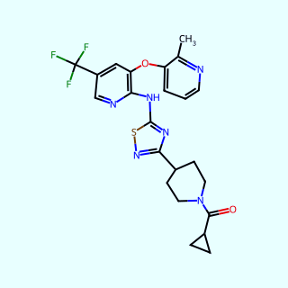 Cc1ncccc1Oc1cc(C(F)(F)F)cnc1Nc1nc(C2CCN(C(=O)C3CC3)CC2)ns1